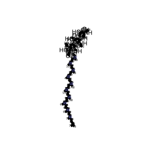 CC(=O)N[C@@H]1[C@H](O[C@H]2[C@H](O)[C@@H](NC(C)=O)[C@@H](OP(=O)(O)OP(=O)(O)OC/C=C(/C)CC/C=C(/C)CC/C=C(/C)CC/C=C(/C)CC/C=C(/C)CC/C=C(/C)CC/C=C(/C)CC/C=C(/C)CC/C=C(\C)CC/C=C(\C)CCC=C(C)C)O[C@@H]2CO)O[C@H](C(=O)O)[C@@H](O[C@H]2O[C@H](C)[C@H](NC(C)=O)[C@H](O)[C@H]2O)[C@@H]1O